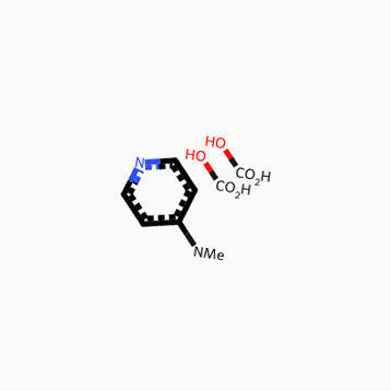 CNc1ccncc1.O=C(O)O.O=C(O)O